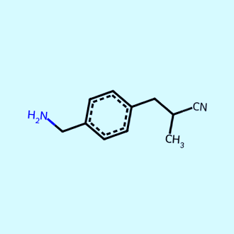 CC(C#N)Cc1ccc(CN)cc1